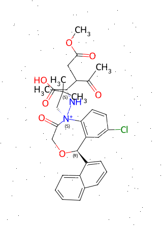 COC(=O)CC(C(C)=O)[C@H](N[N@+]1(CC(C)(C)C)C(=O)CO[C@H](c2cccc3ccccc23)c2cc(Cl)ccc21)C(=O)O